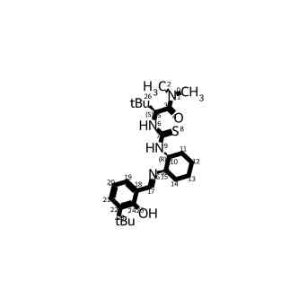 CN(C)C(=O)[C@@H](NC(=S)N[C@@H]1CCCC[C@H]1N=Cc1c[c]cc(C(C)(C)C)c1O)C(C)(C)C